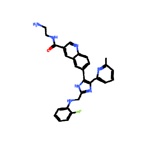 Cc1cccc(-c2nc(CNc3ccccc3F)[nH]c2-c2ccc3ncc(C(=O)NCCN)cc3c2)n1